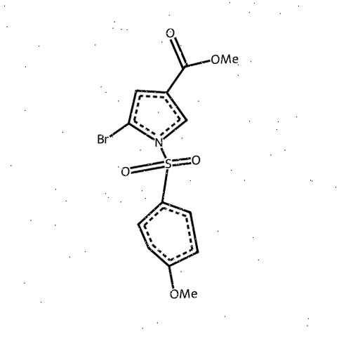 COC(=O)c1cc(Br)n(S(=O)(=O)c2ccc(OC)cc2)c1